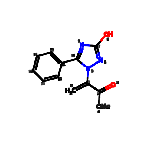 C=C(C(=O)OC)n1nc(O)nc1-c1ccccc1